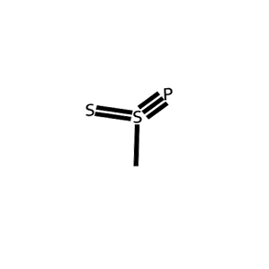 CS(#P)=S